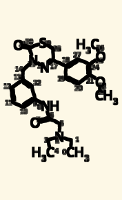 CCN(CC)CC(=O)Nc1cccc(CN2N=C(c3ccc(OC)c(OC)c3)CSC2=O)c1